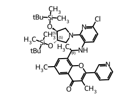 Cc1cc([C@@H](C)Nc2ccc(Cl)nc2N2C[C@H](O[Si](C)(C)C(C)(C)C)[C@@H](O[Si](C)(C)C(C)(C)C)C2)c2oc(-c3cccnc3)c(C)c(=O)c2c1